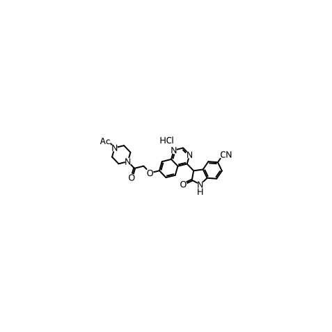 CC(=O)N1CCN(C(=O)COc2ccc3c(C4C(=O)Nc5ccc(C#N)cc54)ncnc3c2)CC1.Cl